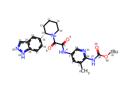 Cc1cc(NC(=O)C(=O)N2CCCC[C@H]2c2ccc3[nH]ncc3c2)cnc1NC(=O)OC(C)(C)C